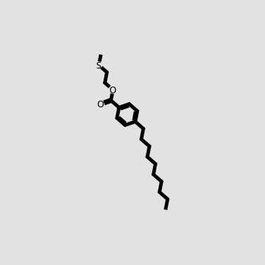 CCCCCCCCCCc1ccc(C(=O)OCCSC)cc1